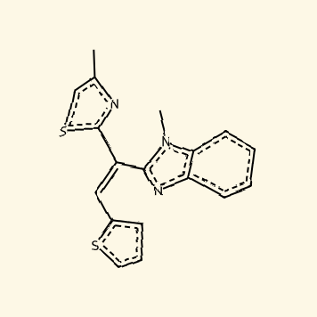 Cc1csc(/C(=C/c2cccs2)c2nc3ccccc3n2C)n1